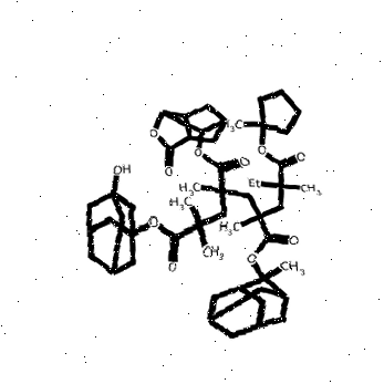 CCC(C)(CC(C)(CC(C)(CC(C)(C)C(=O)OC12CC3CC(CC(O)(C3)C1)C2)C(=O)OC1C2CC3C(=O)OC1C3C2)C(=O)OC1(C)C2CC3CC(C2)CC1C3)C(=O)OC1(C)CCCC1